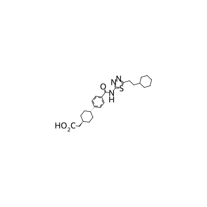 O=C(O)C[C@H]1CC[C@H](c2ccc(C(=O)Nc3nnc(CCC4CCCCC4)s3)cc2)CC1